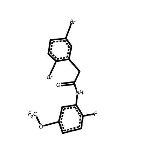 O=C(Cc1cc(Br)ccc1Br)Nc1cc(OC(F)(F)F)ccc1F